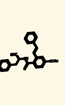 CC(=O)Nc1ccc(C(=O)NC(C=O)Cc2ccccc2)c(C=Cc2ccccc2)c1